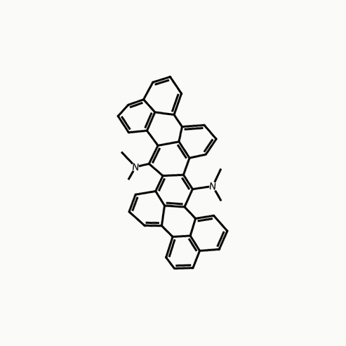 CN(C)c1c2c3cccc4c5cccc6cccc(c(c(N(C)C)c2c2cccc7c8cccc9cccc(c1c72)c98)c43)c65